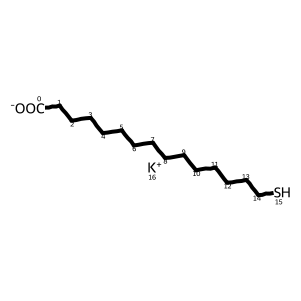 O=C([O-])CCCCCCCCCCCCCCS.[K+]